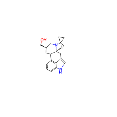 CC1(N2C[C@H](CO)CC3c4cccc5[nH]cc(c45)C[C@H]32)CC1